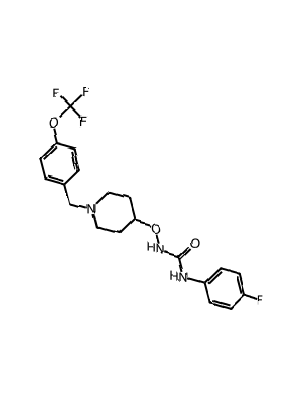 O=C(NOC1CCN(Cc2ccc(OC(F)(F)F)cc2)CC1)Nc1ccc(F)cc1